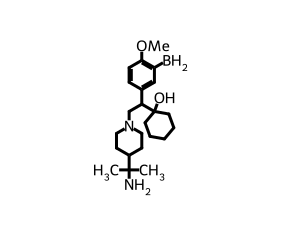 Bc1cc(C(CN2CCC(C(C)(C)N)CC2)C2(O)CCCCC2)ccc1OC